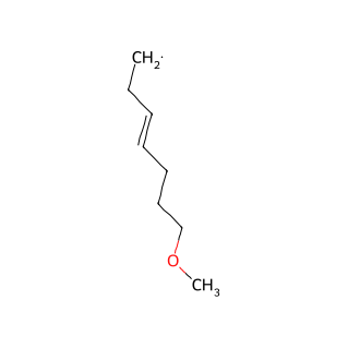 [CH2]C/C=C/CCCOC